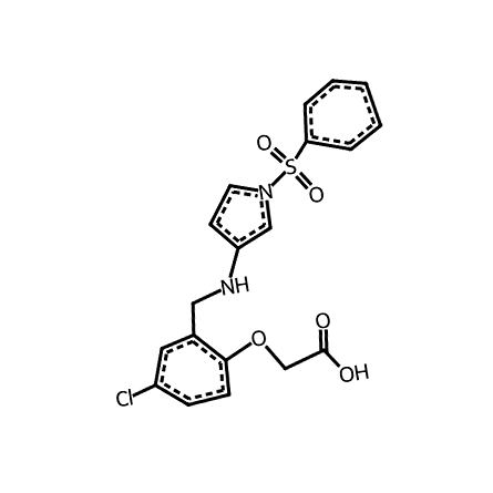 O=C(O)COc1ccc(Cl)cc1CNc1ccn(S(=O)(=O)c2ccccc2)c1